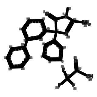 CN1C(=O)C(c2ccccc2)(c2cccc(-c3ccccc3)c2)N=C1N.O=C(O)C(F)(F)F